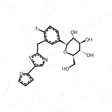 OC[C@H]1O[C@@H](c2ccc(F)c(Cc3ncc(-c4ccco4)s3)c2)[C@H](O)[C@@H](O)[C@@H]1O